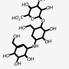 O=C(O)C1OC(OC2C(CO)CC(NC3C=C(CO)C(O)C(O)C3O)C(O)C2O)C(O)C(O)C1O